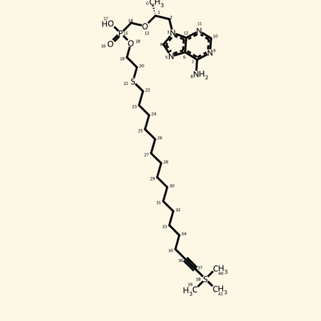 C[C@H](Cn1cnc2c(N)ncnc21)OCP(=O)(O)OCCSCCCCCCCCCCCCCCC#CS(C)(C)C